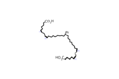 CC(C)C(CCCCCCCC/C=C\C/C=C\CCCCC(=O)O)CCCCCCCC/C=C\C/C=C\CCCCC(=O)O